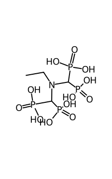 CCN(C(P(=O)(O)O)P(=O)(O)O)C(P(=O)(O)O)P(=O)(O)O